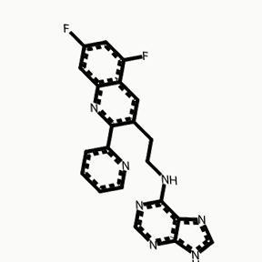 Fc1cc(F)c2cc(CCNc3ncnc4[nH]cnc34)c(-c3ccccn3)nc2c1